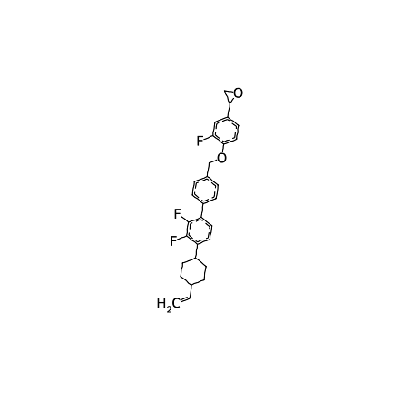 C=CC1CCC(c2ccc(-c3ccc(COc4ccc(C5CO5)cc4F)cc3)c(F)c2F)CC1